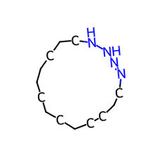 C1CCCCCCN=NNNCCCCCC1